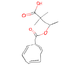 CC(OC(=O)c1ccccc1)C(C)(C)C(=O)O